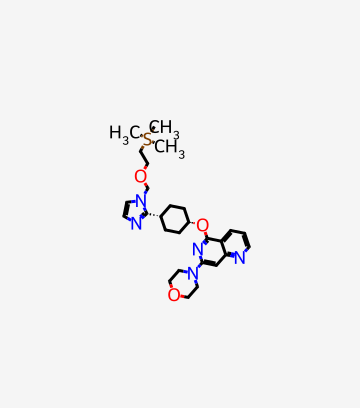 CS(C)(C)CCOCn1ccnc1[C@H]1CC[C@@H](Oc2nc(N3CCOCC3)cc3ncccc23)CC1